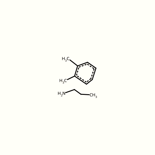 CCCN.Cc1ccccc1C